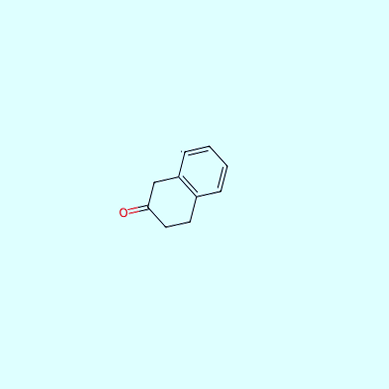 O=C1CCc2ccc[c]c2C1